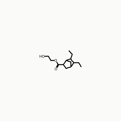 CCC1C2CC(C(=O)OCCO)C(C2)C1CC